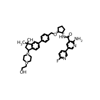 CC1(C)CC(N2CCN(CCO)CC2)c2ccc(-c3ccc(CO[C@H]4CCC[C@@H]4NC(=O)c4cc(-c5ccc(F)nc5)cnc4N)cc3)cc21